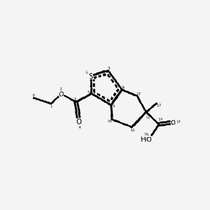 CCOC(=O)c1scc2c1CCC(C)(C(=O)O)C2